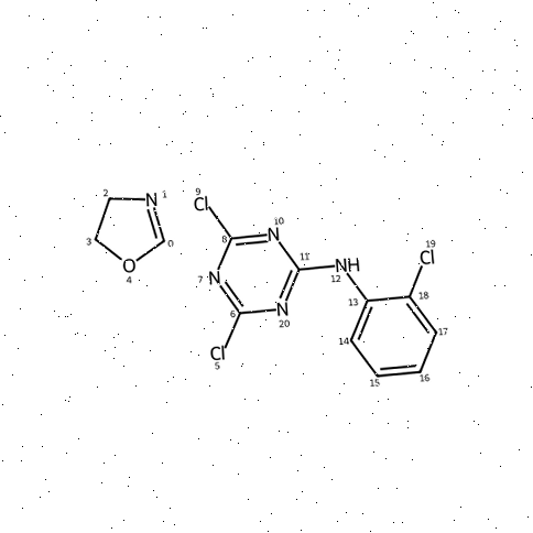 C1=NCCO1.Clc1nc(Cl)nc(Nc2ccccc2Cl)n1